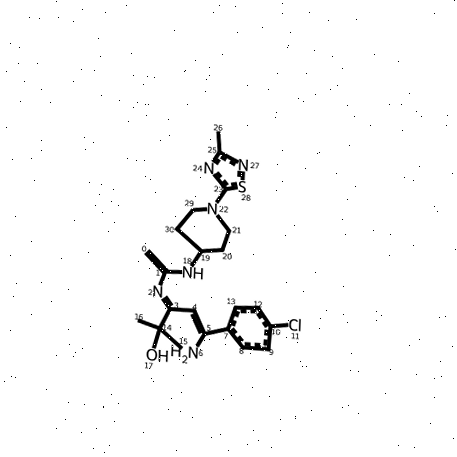 C=C(/N=C(\C=C(/N)c1ccc(Cl)cc1)C(C)(C)O)NC1CCN(c2nc(C)ns2)CC1